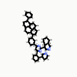 c1ccc(-c2ccc3ccc4c(-c5cccc(-c6cc(-c7ccccc7-c7cccnc7)nc(-c7cncc8ccccc78)n6)c5)ccc5ccc2c3c54)cc1